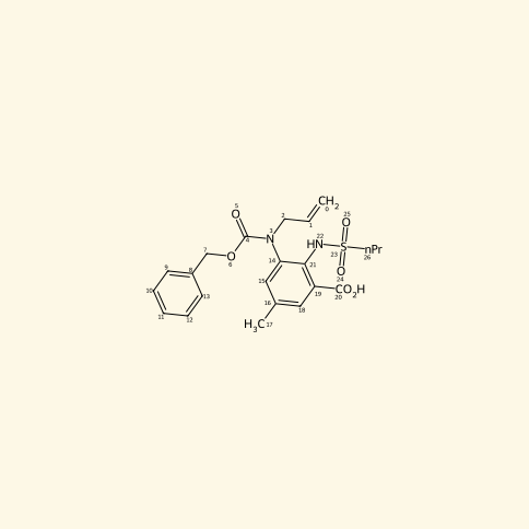 C=CCN(C(=O)OCc1ccccc1)c1cc(C)cc(C(=O)O)c1NS(=O)(=O)CCC